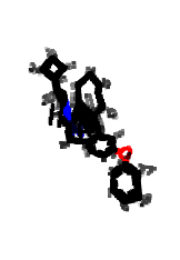 c1ccc(Oc2ccc3c(c2)[C@@]24CCCC[C@H]2[C@@H](C3)N(CC2CCC2)CC4)cc1